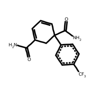 NC(=O)C1=CC=CC(C(N)=O)(c2ccc(C(F)(F)F)cc2)C1